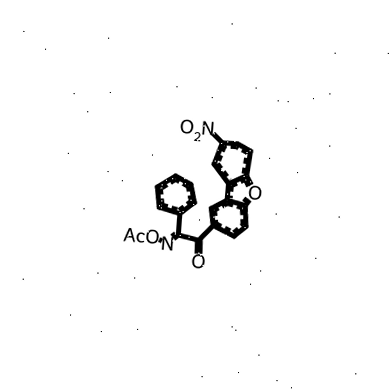 CC(=O)O/N=C(/C(=O)c1ccc2oc3ccc([N+](=O)[O-])cc3c2c1)c1ccccc1